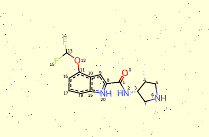 O=C(N[C@@H]1CCNC1)c1cc2c(OC(F)F)cccc2[nH]1